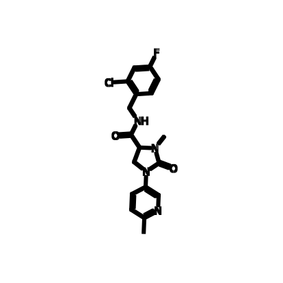 Cc1ccc(N2CC(C(=O)NCc3ccc(F)cc3Cl)N(C)C2=O)cn1